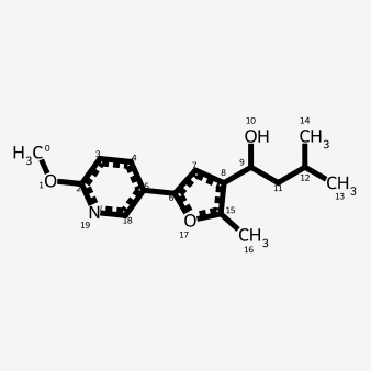 COc1ccc(-c2cc(C(O)CC(C)C)c(C)o2)cn1